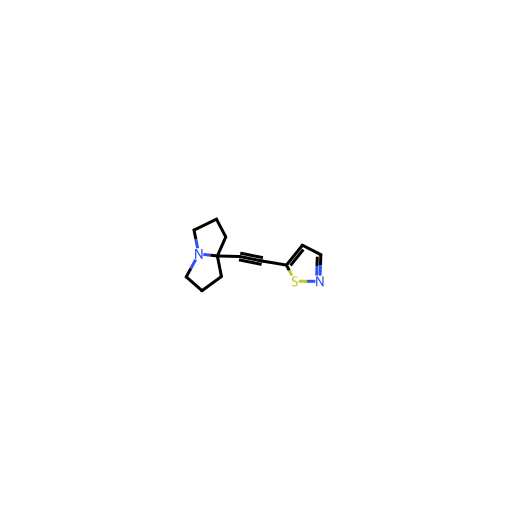 C(#CC12CCCN1CCC2)c1ccns1